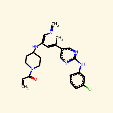 C=CC(=O)N1CCC(NC(=C/N=C)/C=C(\C)c2cnc(Nc3cccc(Cl)c3)nc2)CC1